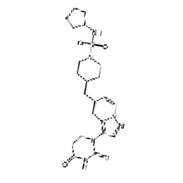 O=C1CCN(c2cnn3ccc(CC4CCN(S(=O)(=O)NC5CCCC5)CC4)cc23)C(=O)N1